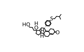 CC(C)CCSc1ccc([C@H]2C[C@@]3(C)[C@@H](CC[C@@]3(O)CCCO)[C@@H]3CCC4=CC(=O)CCC4=C32)cc1